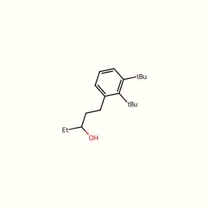 CCC(O)CCc1cccc(C(C)(C)C)c1C(C)(C)C